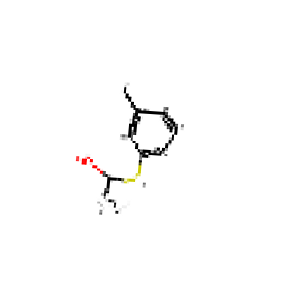 Cc1cccc(SC(O)C(=O)O)c1